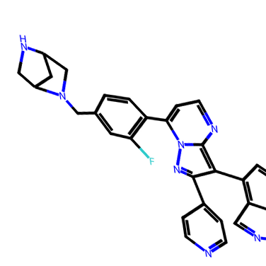 Fc1cc(CN2CC3CC2CN3)ccc1-c1ccnc2c(-c3cccc4[nH]ncc34)c(-c3ccncc3)nn12